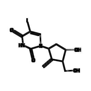 C=C1C(CO)C(O)CC1n1cc(I)c(=O)[nH]c1=O